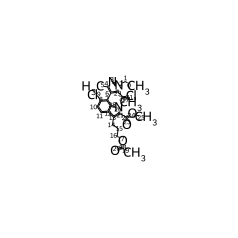 CCn1nc(C)c(-c2c(Cl)ccc3c(CCCOC(C)=O)c(C(=O)OC)n(C)c23)c1CCl